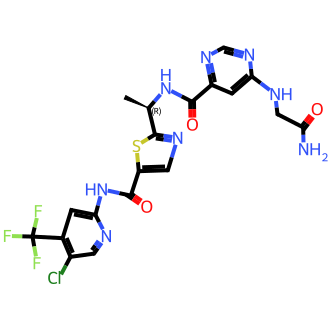 C[C@@H](NC(=O)c1cc(NCC(N)=O)ncn1)c1ncc(C(=O)Nc2cc(C(F)(F)F)c(Cl)cn2)s1